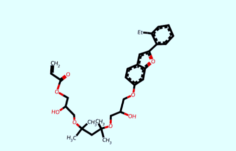 C=CC(=O)OCC(O)COC(C)(C)CC(C)(C)OCC(O)COc1ccc2cc(-c3ccccc3CC)oc2c1